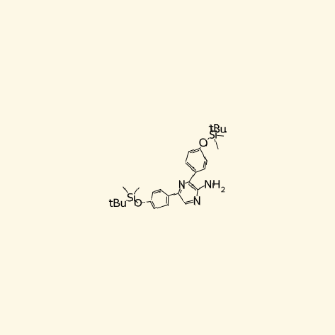 CC(C)(C)[Si](C)(C)Oc1ccc(-c2cnc(N)c(-c3ccc(O[Si](C)(C)C(C)(C)C)cc3)n2)cc1